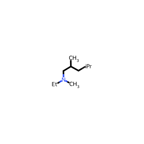 CCN(C)CC(C)CC(C)C